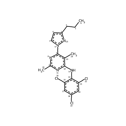 CCCc1ccn(-c2nc(C)nc(Nc3c(Cl)cc(Cl)cc3Cl)c2C)n1